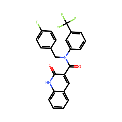 O=C(c1cc2ccccc2[nH]c1=O)N(Cc1ccc(F)cc1)c1cccc(C(F)(F)F)c1